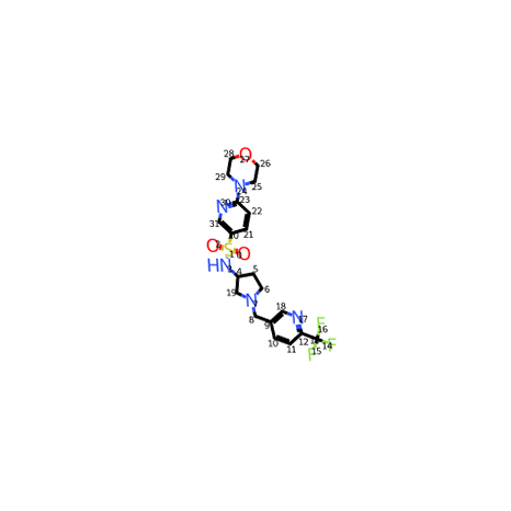 O=S(=O)(NC1CCN(Cc2ccc(C(F)(F)F)nc2)C1)c1ccc(N2CCOCC2)nc1